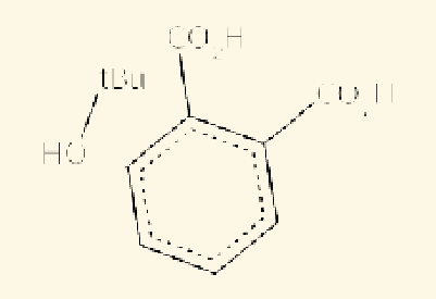 CC(C)(C)O.O=C(O)c1ccccc1C(=O)O